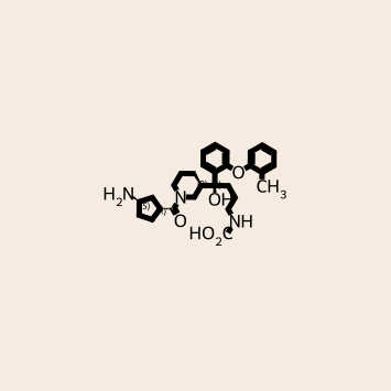 Cc1ccccc1Oc1ccccc1[C@](O)(CCCNC(=O)O)[C@@H]1CCCN(C(=O)[C@@H]2CC[C@H](N)C2)C1